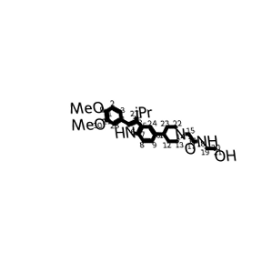 COc1ccc(-c2[nH]c3ccc(C4CCN(CC(=O)NCCO)CC4)cc3c2C(C)C)cc1OC